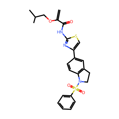 C=C(OCC(C)C)C(=O)Nc1nc(-c2ccc3c(c2)CCN3S(=O)(=O)c2ccccc2)cs1